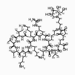 CC(=O)NC(C(=O)NC(C(=O)NC(C(=O)NC(CCCCN)C(=O)NC(CCCCN)C(=O)NC(CCCCN)C(=O)NC(CCCNC(=N)N)C(=O)NC(CCCCN)C(=O)NC(C(=O)NC(C(=O)NC(CSC1CC(=O)N(CCCCN2C[C@@H](O)[C@@H](O)[C@H](O)[C@H]2CO)C1=O)C(=O)O)C(C)C)C(C)C)C(C)C)C(C)C)C(C)C